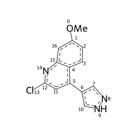 COc1ccc2c(-c3cn[nH]c3)cc(Cl)nc2c1